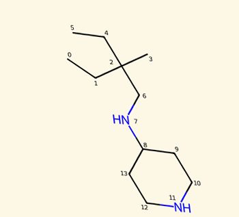 CCC(C)(CC)CNC1CCNCC1